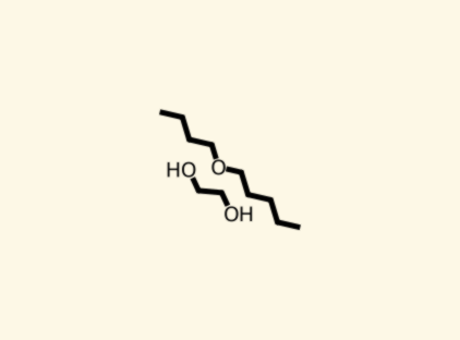 CCCCCOCCCC.OCCO